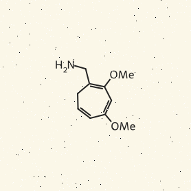 COC1=CC(OC)=C(CN)CC=C1